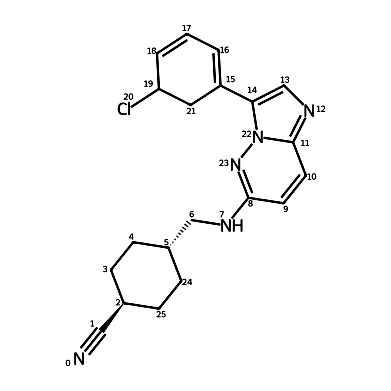 N#C[C@H]1CC[C@H](CNc2ccc3ncc(C4=CC=CC(Cl)C4)n3n2)CC1